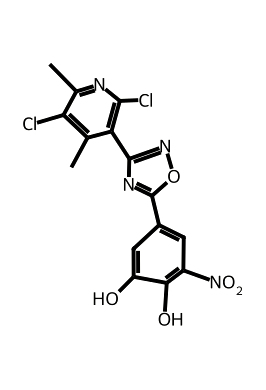 Cc1nc(Cl)c(-c2noc(-c3cc(O)c(O)c([N+](=O)[O-])c3)n2)c(C)c1Cl